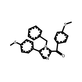 CSc1ccc(C(=O)c2ncc(-c3ccc(SC)cc3)n2Cc2ccccc2)cc1